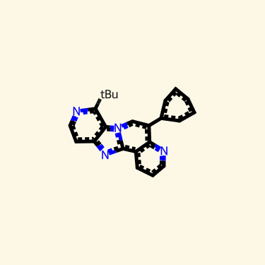 CC(C)(C)c1nccc2nc3c4cccnc4c(-c4ccccc4)cn3c12